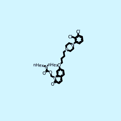 CCCCCCN(CCCCCC)C(=O)OCn1c(=O)ccc2ccc(OCCCCN3CCN(c4cccc(Cl)c4Cl)CC3)cc21